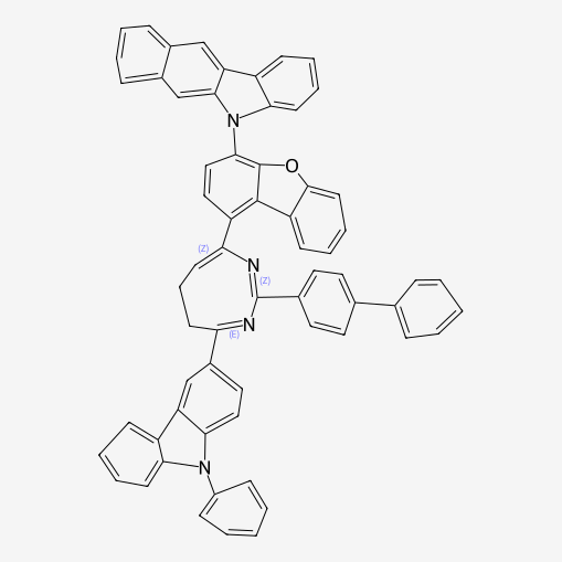 C1=C(c2ccc(-n3c4ccccc4c4cc5ccccc5cc43)c3oc4ccccc4c23)/N=C(c2ccc(-c3ccccc3)cc2)\N=C(\c2ccc3c(c2)c2ccccc2n3-c2ccccc2)CC\1